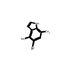 Cc1cc(Br)c(C#N)c2cc[nH]c12